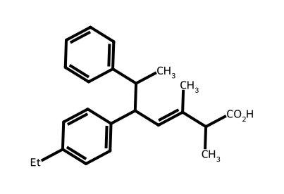 CCc1ccc(C(C=C(C)C(C)C(=O)O)C(C)c2ccccc2)cc1